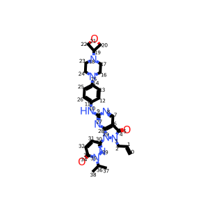 C=CCn1c(=O)c2cnc(Nc3ccc(N4CCN(C5COC5)CC4)cc3)nc2n1-c1ccc(=O)n(C(C)C)n1